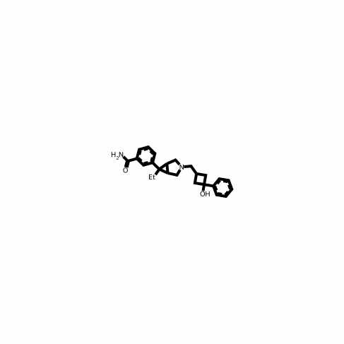 CCC1(c2cccc(C(N)=O)c2)C2CN(CC3CC(O)(c4ccccc4)C3)CC21